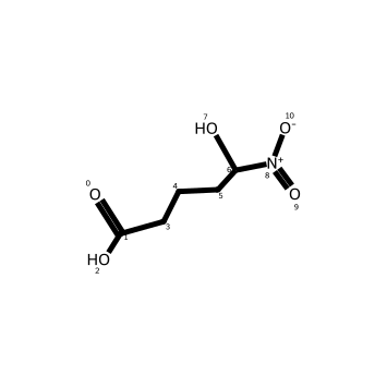 O=C(O)CCCC(O)[N+](=O)[O-]